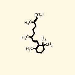 CC1=C(/C=C/C(C)CCC/C(C)=C/C(=O)O)C(C)(C)CCC1